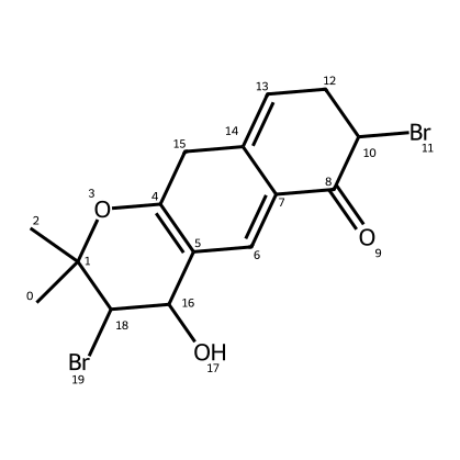 CC1(C)OC2=C(C=C3C(=O)C(Br)CC=C3C2)C(O)C1Br